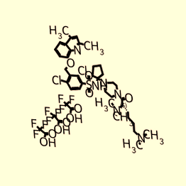 Cc1cc(C)c2cccc(OCc3c(Cl)ccc(S(=O)(=O)NC4(N5CCN(C(=O)[C@H](CCCCN(C)C)N(C)C)CC5)CCCC4)c3Cl)c2n1.O=C(O)C(F)(F)F.O=C(O)C(F)(F)F.O=C(O)C(F)(F)F